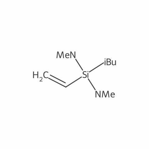 C=C[Si](NC)(NC)C(C)CC